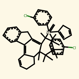 [CH2]=[Zr]([C]1=CC=CC1)([c]1cccc(Cl)c1)([c]1cccc(Cl)c1)[C]1(C)C2=C3Cc4ccccc4C3=C3C=CCCC3C2(C)C(C)(C)C(C)(C)C1(C)C